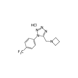 Cl.FC(F)(F)c1ccc(-n2nnnc2CN2CCC2)cc1